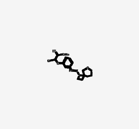 CCC(OC)C(CC)Oc1cccc(NSN2CCC23CCCOC3)c1